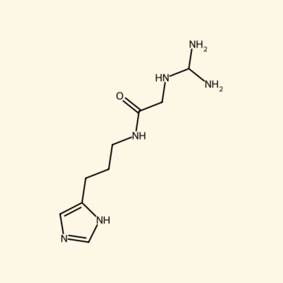 NC(N)NCC(=O)NCCCc1cnc[nH]1